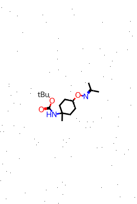 CC(C)=NOC1CCC(C)(NC(=O)OC(C)(C)C)CC1